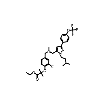 CCOC(=O)C(C)(C)Oc1ccc(CN(C)Cc2cc(-c3ccc(OC(F)(F)F)cc3)nn2CCC(C)C)cc1Cl